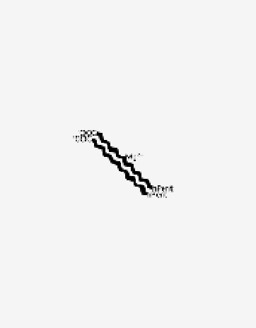 CCCCCC=CCC=CCC=CCC=CCCCC(=O)[O-].CCCCCC=CCC=CCC=CCC=CCCCC(=O)[O-].[Mg+2]